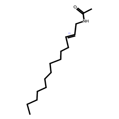 CCCCCCCCCCC/C=C/CNC(C)=O